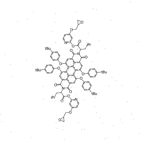 CC(C)CC(C(=O)Oc1cc(OCC2CO2)ccn1)N1C(=O)c2cc(Oc3ccc(C(C)(C)C)cc3)c3c4c(Oc5ccc(C(C)(C)C)cc5)cc5c6c(cc(Oc7ccc(C(C)(C)C)cc7)c(c7c(Oc8ccc(C(C)(C)C)cc8)cc(c2c37)C1=O)c64)C(=O)N(C(CC(C)C)C(=O)Oc1cc(OCC2CO2)ccn1)C5=O